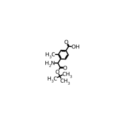 Cc1cc(C(=O)O)ccc1C(N)C(=O)OC(C)(C)C